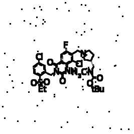 CCS(=O)(=O)c1ccc(Cl)cc1Cn1c(=O)[nH]c2c(Cl)c(CN3CC[C@H](CN(C)C(=O)OC(C)(C)C)C3)c(F)cc2c1=O